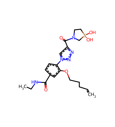 C=CCCCOc1cc(C(=O)NCC)ccc1-n1cc(C(=O)N2CCS(O)(O)C2)nn1